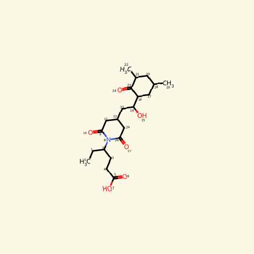 CCC(CCC(=O)O)N1C(=O)CC(CC(O)C2CC(C)CC(C)C2=O)CC1=O